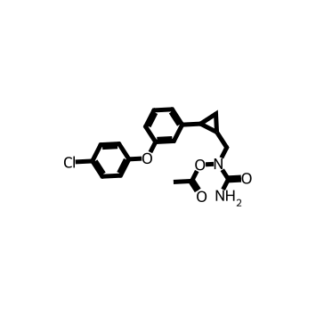 CC(=O)ON(CC1CC1c1cccc(Oc2ccc(Cl)cc2)c1)C(N)=O